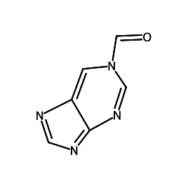 O=Cn1cnc2ncnc-2c1